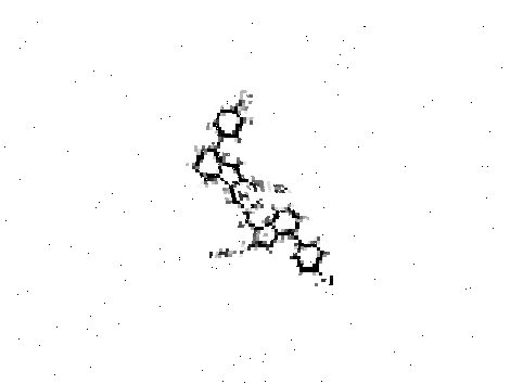 CCCCCCC1=Cc2c(-c3ccc(CC)cc3)cccc2C1C[SiH]([Zr])CC1C(CCCCCC)=Cc2c(-c3ccc(CC)cc3)cccc21